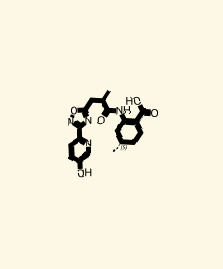 CC(Cc1nc(-c2ccc(O)cn2)no1)C(=O)NC1=C(C(=O)O)CC[C@H](C)C1